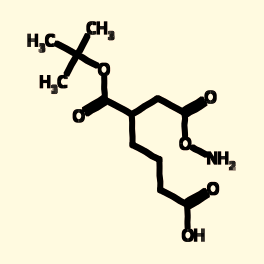 CC(C)(C)OC(=O)C(CCCC(=O)O)CC(=O)ON